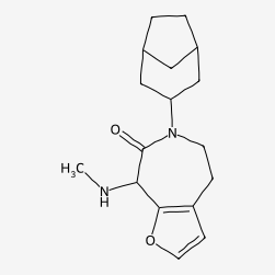 CNC1C(=O)N(C2CC3CCC(C3)C2)CCc2ccoc21